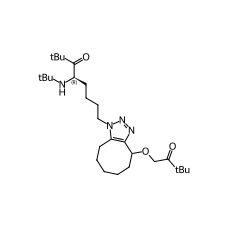 CC(C)(C)N[C@H](CCCCn1nnc2c1CCCCCC2OCC(=O)C(C)(C)C)C(=O)C(C)(C)C